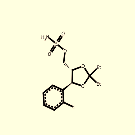 CCC1(CC)O[C@@H](COS(N)(=O)=O)[C@H](c2ccccc2I)O1